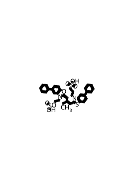 CCC(=Cc1sc2ccc(-c3ccccc3)cc2[n+]1CCCS(=O)(=O)O)C=C1Oc2ccc(-c3ccccc3)cc2N1CCOS(=O)O